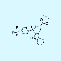 COC(=O)[C@@H](N)Cc1c(Sc2ccc(C(F)(F)F)cc2)[nH]c2ccccc12